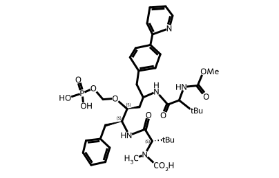 COC(=O)NC(C(=O)NC(Cc1ccc(-c2ccccn2)cc1)C[C@H](OCOP(=O)(O)O)[C@H](Cc1ccccc1)NC(=O)[C@@H](N(C)C(=O)O)C(C)(C)C)C(C)(C)C